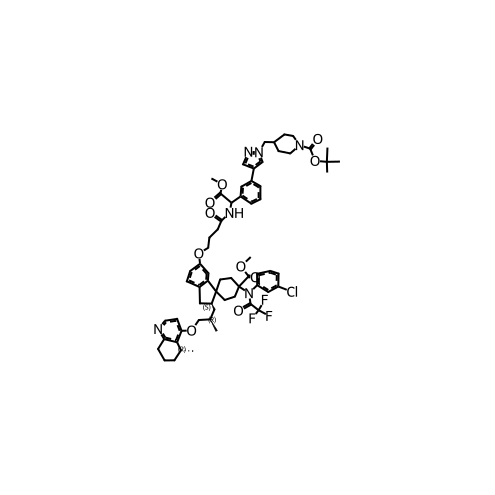 COC(=O)C(NC(=O)CCCOc1ccc2c(c1)C1(CCC(C(=O)OC)(N(C(=O)C(F)(F)F)c3cccc(Cl)c3)CC1)[C@@H](C[C@@H](C)COc1ccnc3c1[C@H](C)CCC3)C2)c1cccc(-c2cnn(CC3CCN(C(=O)OC(C)(C)C)CC3)c2)c1